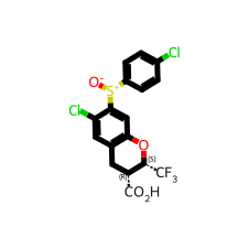 O=C(O)[C@@H]1Cc2cc(Cl)c([S+]([O-])c3ccc(Cl)cc3)cc2O[C@@H]1C(F)(F)F